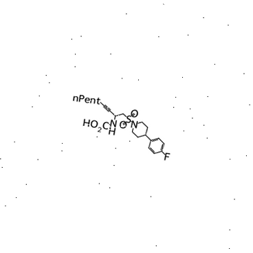 CCCCCC#CC(CS(=O)(=O)N1CCC(c2ccc(F)cc2)CC1)NC(=O)O